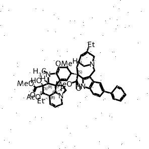 CCC1=C[C@H]2CN(C1)Cc1c([nH]c3ccc(-c4ccccc4)cc13)[C@@](C(=O)OC)(C1C=C3C(=CC1OC)N(C)[C@H]1[C@@](O)(C(=O)OC)[C@H](OC(C)=O)[C@]4(CC)C=CCN5CC[C@]31[C@@H]54)C2